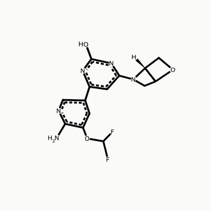 Nc1ncc(-c2cc(N3CC4OC[C@H]43)nc(O)n2)cc1OC(F)F